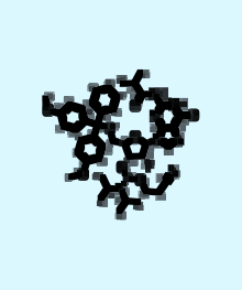 COc1ccc(C(OC[C@H]2O[C@@H](n3cnc4c(=O)[nH]c(NC(=O)C(C)C)nc43)[C@H](F)[C@@H]2OP(OCCC#N)N(C(C)C)C(C)C)(c2ccccc2)c2ccc(OC)cc2)cc1